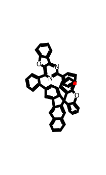 c1ccc(-c2nc(-c3ccccc3-c3ccc4c(c3)-c3cc5ccccc5cc3C43c4ccccc4Oc4ccccc43)c3oc4ccccc4c3n2)cc1